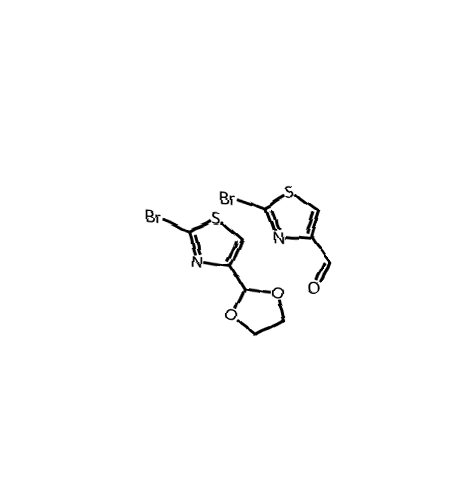 Brc1nc(C2OCCO2)cs1.O=Cc1csc(Br)n1